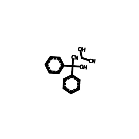 N#CC(O)(c1ccccc1)c1ccccc1.N#CCO